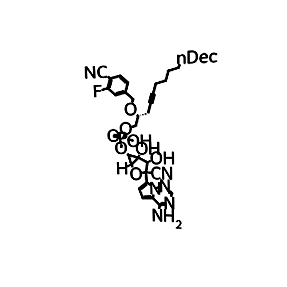 CCCCCCCCCCCCCCC#CC[C@H](COP(=O)(O)OC1[C@H]2O[C@@](C#N)(c3ccc4c(N)ncnn34)[C@H](O)[C@@]12O)OCc1ccc(C#N)c(F)c1